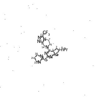 CCCc1cc2c(N3CCn4c(nnc4C(F)(F)F)C3)nc(Sc3ncccn3)nc2s1